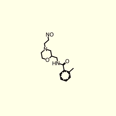 Cc1ccccc1C(=O)NCC1CN(CCN=O)CCO1